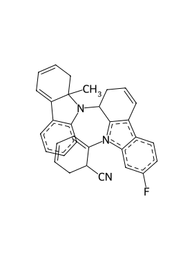 CC12CC=CC=C1c1ccccc1N2C1CC=Cc2c1n(C1=CC=CCC1C#N)c1cc(F)ccc21